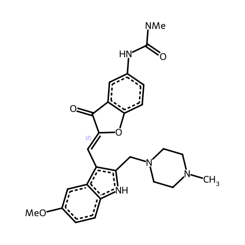 CNC(=O)Nc1ccc2c(c1)C(=O)/C(=C/c1c(CN3CCN(C)CC3)[nH]c3ccc(OC)cc13)O2